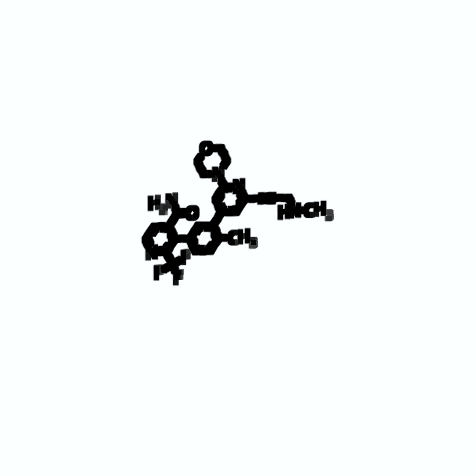 CNCC#Cc1cc(-c2cc(-c3c(C(N)=O)ccnc3C(F)(F)F)ccc2C)cc(N2CCOCC2)n1